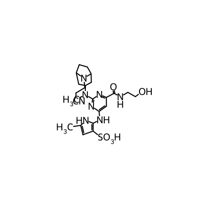 Cc1cc(S(=O)(=O)O)c(Nc2cc(C(=O)NCCO)nc(N(C)C3CC4CCC(C3)N4CCC#N)n2)[nH]1